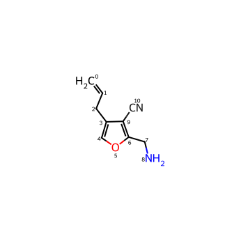 C=CCc1coc(CN)c1C#N